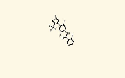 Cn1cc(-c2cc(F)c(NC(=O)c3ccccc3F)cc2F)c(C(F)(F)F)n1